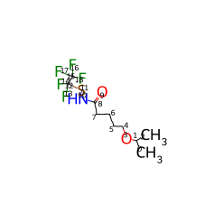 CC(C)OCCCCC(=O)NSC(F)(F)C(F)(F)F